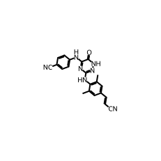 Cc1cc(/C=C/C#N)cc(C)c1Nc1n[nH]c(=O)c(Nc2ccc(C#N)cc2)n1